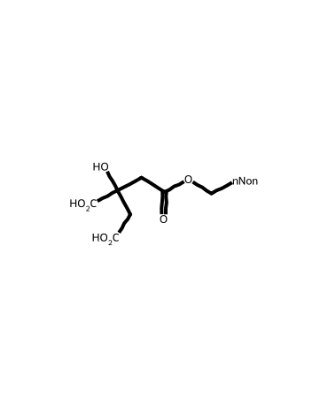 CCCCCCCCCCOC(=O)CC(O)(CC(=O)O)C(=O)O